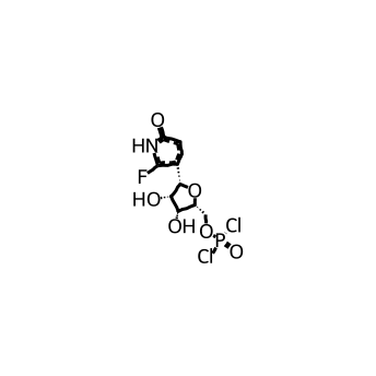 O=c1ccc([C@@H]2O[C@H](COP(=O)(Cl)Cl)[C@H](O)[C@@H]2O)c(F)[nH]1